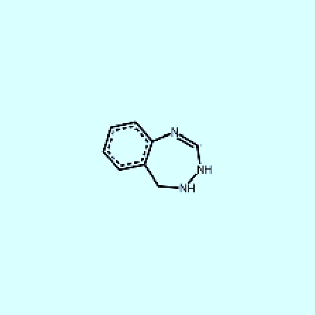 [C]1=Nc2ccccc2CNN1